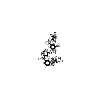 CNS(=O)(=O)c1cccc(Nc2cc(Nc3cc(Cl)c(OC(=O)C(F)(F)F)c(Cl)c3)ncn2)c1